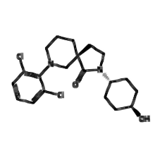 O=C1N([C@H]2CC[C@H](O)CC2)CC[C@@]12CCCN(c1c(Cl)cccc1Cl)C2